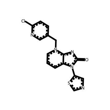 O=c1nc2n(Cc3ccc(Cl)nc3)cccc-2n1-c1cncs1